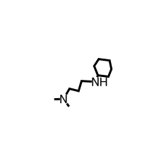 CN(C)CCCNC1CCCCC1